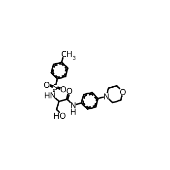 Cc1ccc(S(=O)(=O)NC(CO)C(=O)Nc2ccc(N3CCOCC3)cc2)cc1